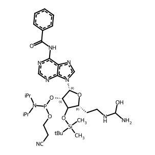 CC(C)N(C(C)C)P(OCCC#N)O[C@H]1C(O[Si](C)(C)C(C)(C)C)[C@@H](CCNC(N)O)O[C@H]1n1cnc2c(NC(=O)c3ccccc3)ncnc21